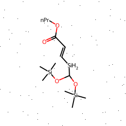 CCCOC(=O)C=C[SiH2]C(O[Si](C)(C)C)O[Si](C)(C)C